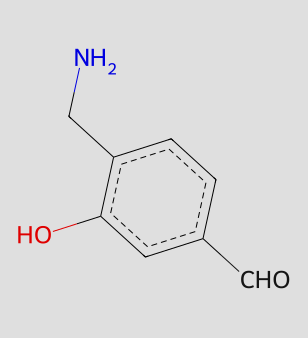 NCc1ccc(C=O)cc1O